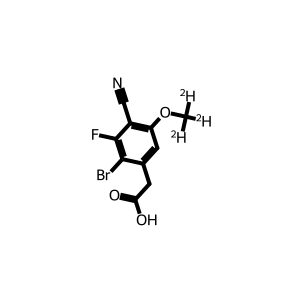 [2H]C([2H])([2H])Oc1cc(CC(=O)O)c(Br)c(F)c1C#N